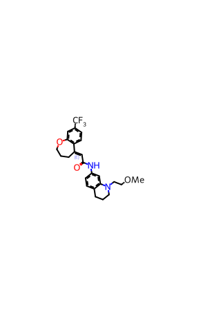 COCCN1CCCc2ccc(NC(=O)/C=C3\CCCOc4cc(C(F)(F)F)ccc43)cc21